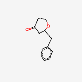 O=C1CCOC(Cc2ccccc2)C1